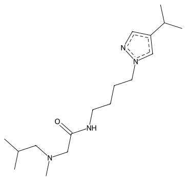 CC(C)CN(C)CC(=O)NCCCCn1cc(C(C)C)cn1